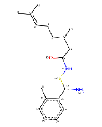 CC(C)=CCCC(C)CC(=O)NSC(N)c1ccccc1C